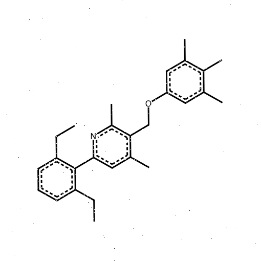 CCc1cccc(CC)c1-c1cc(C)c(COc2cc(C)c(C)c(C)c2)c(C)n1